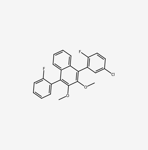 COc1c(OC)c(-c2cc(Cl)ccc2F)c2ccccc2c1-c1ccccc1F